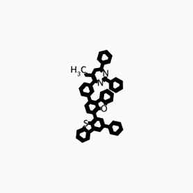 CCC1=C(c2cccc(-c3ccc(-c4cc(-c5ccccc5)cc5c4sc4ccccc45)c4oc5ccccc5c34)c2)N=C(c2ccccc2)N=C(c2ccccc2)C1